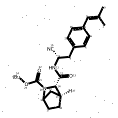 CC(C)=Cc1ccc(C[C@@H](C#N)NC(=O)[C@@H]2[C@H]3CCC(C3)N2C(=O)OC(C)(C)C)cc1